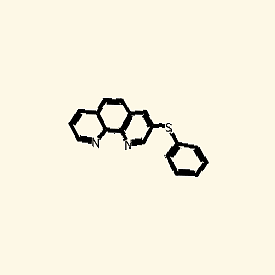 C1=CC2C=Cc3cc(Sc4ccccc4)cnc3C2N=C1